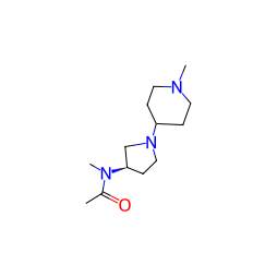 CC(=O)N(C)[C@@H]1CCN(C2CCN(C)CC2)C1